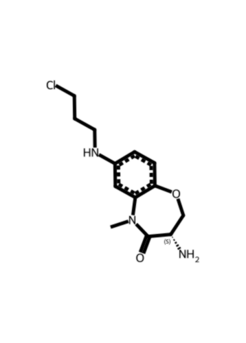 CN1C(=O)[C@@H](N)COc2ccc(NCCCCl)cc21